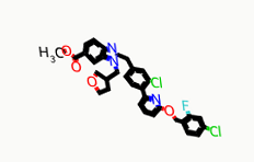 COC(=O)c1ccc2nc(Cc3ccc(-c4cccc(OCc5ccc(Cl)cc5F)n4)c(Cl)c3)n(CC3CCOC3)c2c1